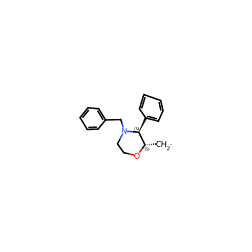 [CH2][C@@H]1OCCN(Cc2ccccc2)[C@H]1c1ccccc1